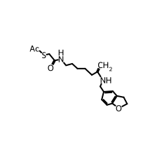 C=C(CCCCCNC(=O)CSC(C)=O)NCc1ccc2c(c1)CCO2